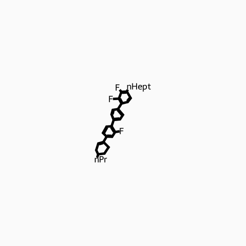 CCCCCCCc1ccc(-c2ccc(-c3ccc(C4=CCC(CCC)CC4)cc3F)cc2)c(F)c1F